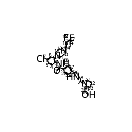 O=C(Nc1ccc(Cl)cc1N1CCN(CCC(F)(F)F)CC1)c1ccc(CNCCN2CCC[C@@H]2CO)cc1F